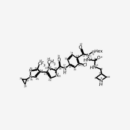 CCCCCCN(NC(=O)NCC1CNC1)C(=O)c1ccc(NC(=O)c2ncc(-c3cn(C4CC4)nc3C(F)(F)F)n2C)cc1Cl